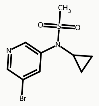 CS(=O)(=O)N(c1cncc(Br)c1)C1CC1